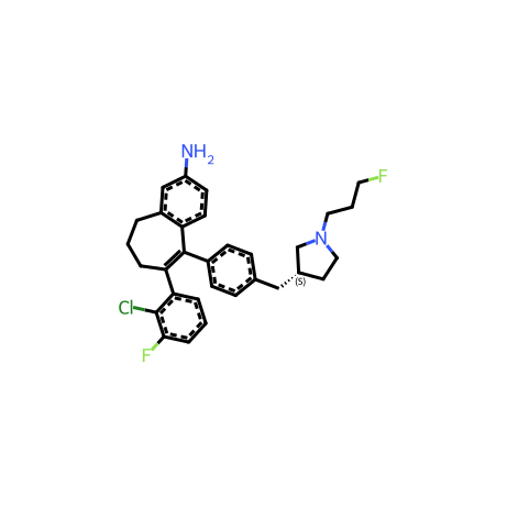 Nc1ccc2c(c1)CCCC(c1cccc(F)c1Cl)=C2c1ccc(C[C@H]2CCN(CCCF)C2)cc1